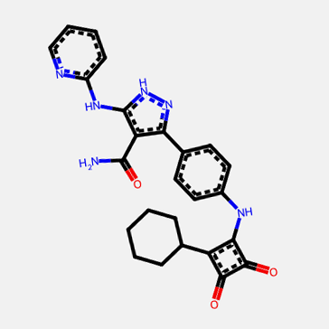 NC(=O)c1c(-c2ccc(Nc3c(C4CCCCC4)c(=O)c3=O)cc2)n[nH]c1Nc1ccccn1